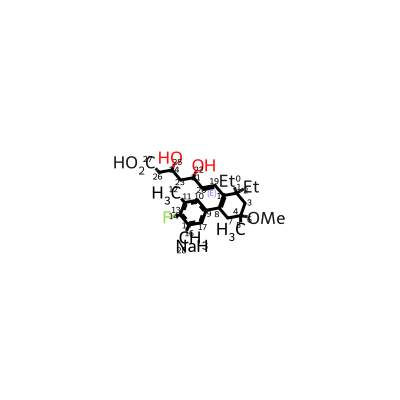 CCC1(CC)CC(C)(OC)CC(c2cc(C)c(F)c(C)c2)=C1/C=C/C(O)CC(O)CC(=O)O.[NaH]